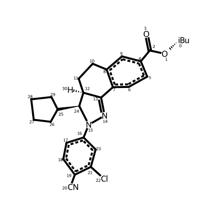 CC[C@@H](C)OC(=O)c1ccc2c(c1)CC[C@H]1C2=NN(c2ccc(C#N)c(Cl)c2)[C@H]1C1CCCC1